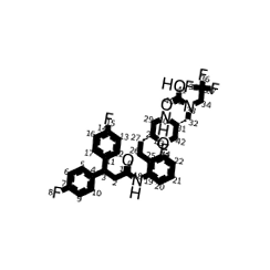 O=C(CC(c1ccc(F)cc1)c1ccc(F)cc1)Nc1cccc(F)c1CC[C@@H]1CN[C@H](CN(CC(F)(F)F)C(=O)O)CO1